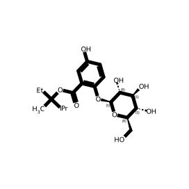 CCC(C)(OC(=O)c1cc(O)ccc1O[C@@H]1O[C@H](CO)[C@@H](O)[C@H](O)[C@H]1O)C(C)C